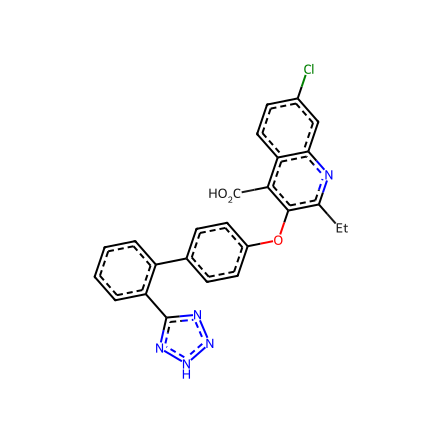 CCc1nc2cc(Cl)ccc2c(C(=O)O)c1Oc1ccc(-c2ccccc2-c2nn[nH]n2)cc1